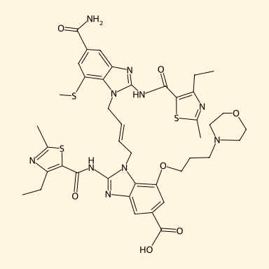 CCc1nc(C)sc1C(=O)Nc1nc2cc(C(=O)O)cc(OCCCN3CCOCC3)c2n1C/C=C/Cn1c(NC(=O)c2sc(C)nc2CC)nc2cc(C(N)=O)cc(SC)c21